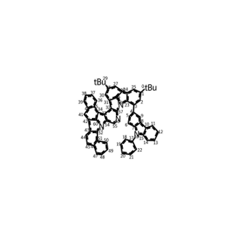 CC(C)(C)c1cc(-c2ccc3c(c2)c2ccccc2n3-c2ccccc2)c2c(c1)c1cc(C(C)(C)C)cc3c4c5c6c7ccccc7cc7c8ccc9ccccc9c8n(c5cnc4n2c13)c76